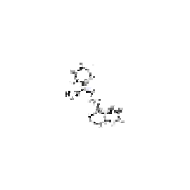 N/C(=C\COc1cccc2ccccc12)c1ccccc1